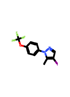 Cc1c(I)cnn1-c1ccc(OC(F)(F)F)cc1